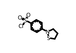 O=S(=O)(Cl)c1ccc(N2CCCS2)cc1